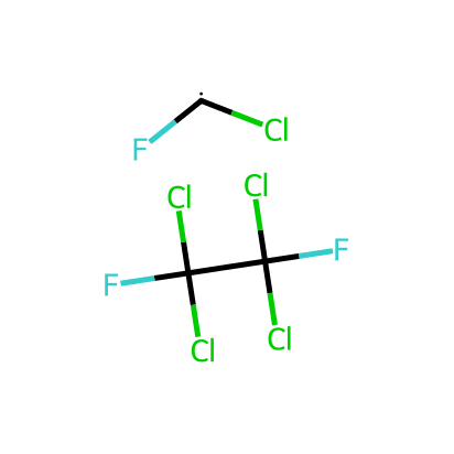 FC(Cl)(Cl)C(F)(Cl)Cl.F[CH]Cl